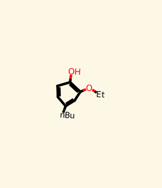 CCCCc1ccc(O)c(OCC)c1